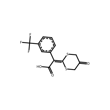 O=C1CSC(=C(C(=O)O)c2cccc(C(F)(F)F)c2)SC1